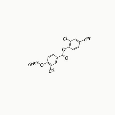 CCCCCCOc1ccc(C(=O)Oc2ccc(CCC)cc2Cl)cc1C#N